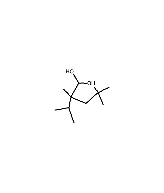 CC(C)C(C)(CC(C)(C)C)C(O)O